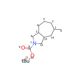 CC1CCCC2CN(C(=O)OC(C)(C)C)CC2C1